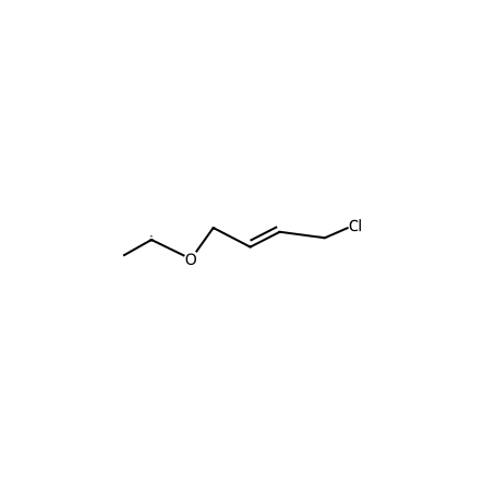 C[CH]OCC=CCCl